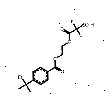 CCC(C)(C)c1ccc(C(=O)OCCOC(=O)C(F)(F)S(=O)(=O)O)cc1